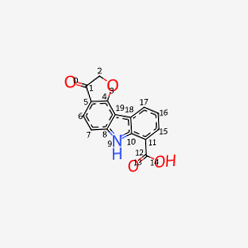 O=C1COc2c1ccc1[nH]c3c(C(=O)O)cccc3c21